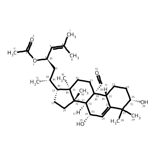 CC(=O)O[C@@H](C=C(C)C)C[C@@H](C)[C@H]1CC[C@@]2(C)[C@@H]3[C@@H](O)C=C4[C@@H](CC[C@H](O)C4(C)C)[C@]3(C=O)CC[C@]12C